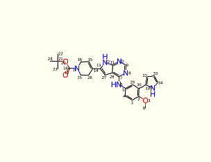 COc1ccc(Nc2ncnc3[nH]c(C4=CCN(C(=O)OC(C)(C)C)CC4)cc23)cc1-c1ccc[nH]1